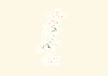 C[C@@H]1C[C@H]([C@H](O)C(C)(C)O)OC2=C1[C@@]1(C)CC[C@@]34C[C@@]35CC[C@H](O[C@@H]3OC[C@H](O)[C@H](O)[C@H]3O)C(C)(C)[C@@H]5CC[C@H]4[C@]1(C)[C@H]2O